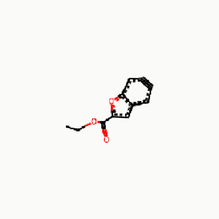 CCOC(=O)c1cc2cc#ccc2o1